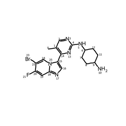 Cc1cnc(NC2CCC(N)CC2)nc1-c1cnc2cc(F)c(Br)cn12